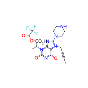 CC#CCn1c(N2CCNCC2)nc2c1c(=O)n(C)c(=O)n2C(C)C(=O)O.O=C(O)C(F)(F)F